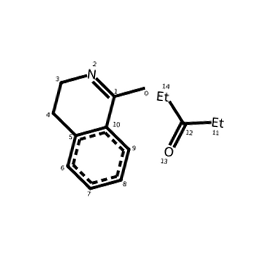 CC1=NCCc2ccccc21.CCC(=O)CC